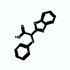 O=C(O)C(Oc1ccccc1)c1nc2ccccc2o1